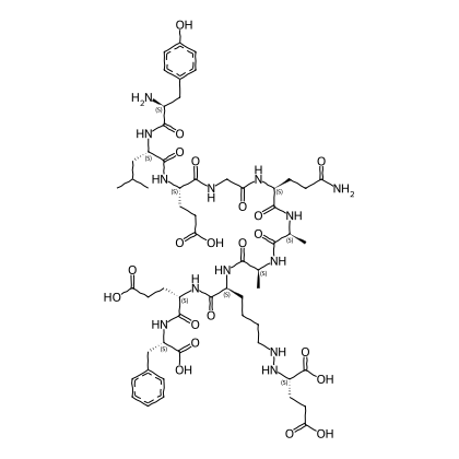 CC(C)C[C@H](NC(=O)[C@@H](N)Cc1ccc(O)cc1)C(=O)N[C@@H](CCC(=O)O)C(=O)NCC(=O)N[C@@H](CCC(N)=O)C(=O)N[C@@H](C)C(=O)N[C@@H](C)C(=O)N[C@@H](CCCCNN[C@@H](CCC(=O)O)C(=O)O)C(=O)N[C@@H](CCC(=O)O)C(=O)N[C@@H](Cc1ccccc1)C(=O)O